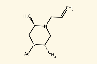 C=CCN1C[C@H](C)N(C(C)=O)C[C@H]1C